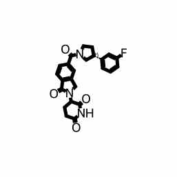 O=C1CCC(N2Cc3cc(C(=O)N4CC[C@H](c5cccc(F)c5)C4)ccc3C2=O)C(=O)N1